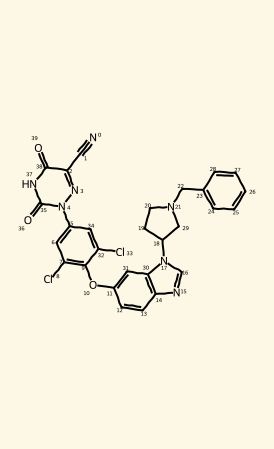 N#Cc1nn(-c2cc(Cl)c(Oc3ccc4ncn(C5CCN(Cc6ccccc6)C5)c4c3)c(Cl)c2)c(=O)[nH]c1=O